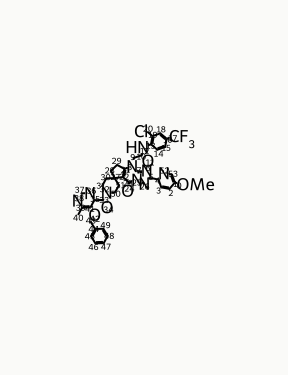 COc1ccc(-c2nc3n(CC(=O)Nc4ccc(C(F)(F)F)cc4Cl)c4c(c(=O)n3n2)C2(CC4)CCN(C(=O)c3ncnc(C)c3OCc3ccccc3)CC2)nc1